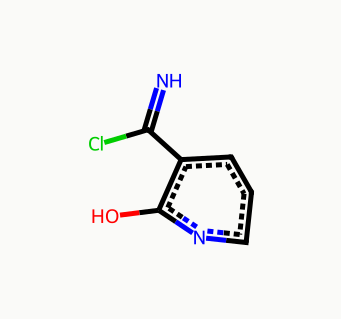 N=C(Cl)c1cccnc1O